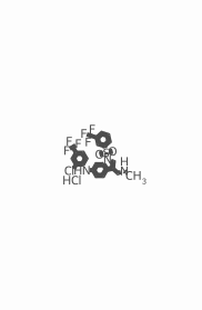 CNCc1cn(S(=O)(=O)c2cccc(C(F)(F)F)c2)c2cc(Nc3ccc(C(F)(F)F)cc3Cl)ccc12.Cl